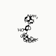 CCCCCCCCCCOP(=O)(OCCCCCCCCCC)OC[C@H]1O[C@@H](n2cnc3c(N)ncnc32)C[C@@H]1O